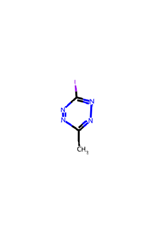 Cc1nnc(I)nn1